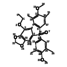 CCOc1cc(P(=O)(c2cc(C)c(OC)c(C)c2)c2cc(C)c(OC)c(C)c2)c(I)c2c1OCO2